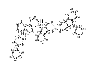 CCC1=C(c2cccc(-c3ccc(-c4ccccc4)cc3)c2)C=CNC1n1c2ccccc2c2cc(-c3ccc4c(c3)c3ccccc3n4-c3ccccc3)ccc21